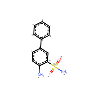 Nc1ccc(-c2ccccc2)cc1S(N)(=O)=O